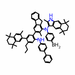 Bc1ccc(N(c2c(C)c(-c3cc(-c4cc5c(cc4C)C(C)(C)CCC5(C)C)c(CCC)cc3Nc3ccc(-c4ccccc4)cc3)cc3c2Cc2ccccc2-3)c2c(C)[nH]c3cc4c(cc23)C(C)(C)CCC4(C)C)cc1